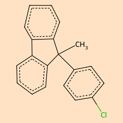 CC1(c2ccc(Cl)cc2)c2ccccc2-c2ccccc21